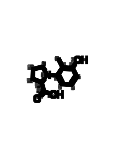 Cc1c(O)cccc1N1CCCC1C(=O)O